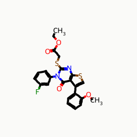 CCOC(=O)CSc1nc2scc(-c3ccccc3OC)c2c(=O)n1-c1cccc(F)c1